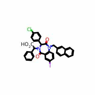 O=C(O)C(c1ccccc1)N1C(=O)c2cc(I)ccc2N(Cc2ccc3ccccc3c2)C(=O)C1c1ccc(Cl)cc1